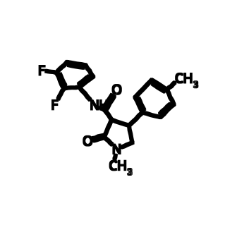 Cc1ccc(C2CN(C)C(=O)C2C(=O)Nc2cccc(F)c2F)cc1